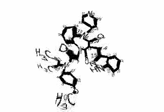 COc1ccc(N(C(=O)CN2C(=O)C(Cc3n[nH]c4ccccc34)C(=O)N(c3ccncc3)c3ccccc32)C(C)C)cc1